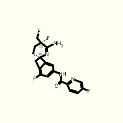 NC1=N[C@]2(CC[C@@]1(F)CF)Cc1c(F)cc(NC(=O)c3ccc(F)cn3)cc12